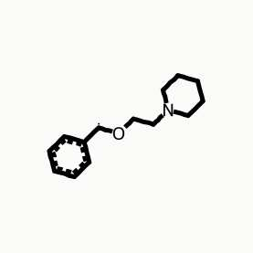 [CH](OCCN1CCCCC1)c1ccccc1